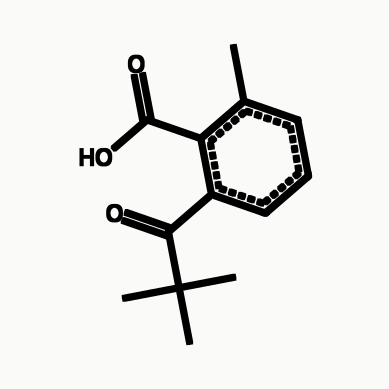 Cc1cccc(C(=O)C(C)(C)C)c1C(=O)O